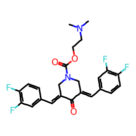 CN(C)CCOC(=O)N1C/C(=C\c2ccc(F)c(F)c2)C(=O)/C(=C/c2ccc(F)c(F)c2)C1